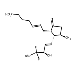 CCCCC(F)(F)[C@H](O)C=C[C@H]1[C@H](C)CC(=O)[C@@H]1CC=CCCCC(=O)O